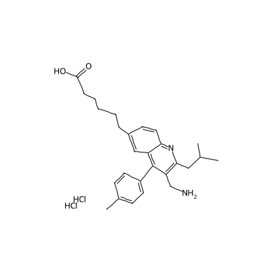 Cc1ccc(-c2c(CN)c(CC(C)C)nc3ccc(CCCCCC(=O)O)cc23)cc1.Cl.Cl